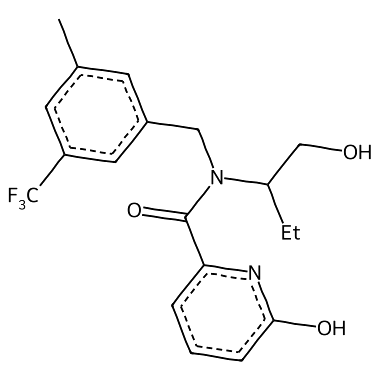 CCC(CO)N(Cc1cc(C)cc(C(F)(F)F)c1)C(=O)c1cccc(O)n1